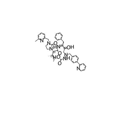 CC[C@H](C)[C@@H](C(=O)N[C@@H](Cc1ccccc1)[C@@H](O)CN(Cc1ccc(-c2ccccn2)cc1)NC(=O)O)N1CCN(Cc2cccc(C)n2)C1=O